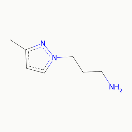 Cc1ccn(CCCN)n1